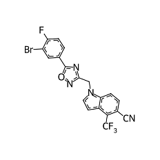 N#Cc1ccc2c(ccn2Cc2noc(-c3ccc(F)c(Br)c3)n2)c1C(F)(F)F